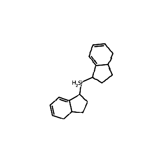 C1=CCC2CCC([SiH2]C3CCC4CC=CC=C43)C2=C1